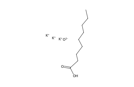 CCCCCCCCC(=O)O.[K+].[K+].[K+].[O-2]